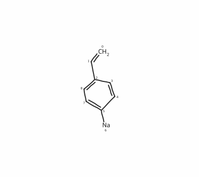 C=Cc1cc[c]([Na])cc1